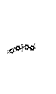 C[C@H]1CN(Cc2ccc(N(C)C(=O)N3CCC(c4cccc(F)c4)CC3)cc2)CCN1